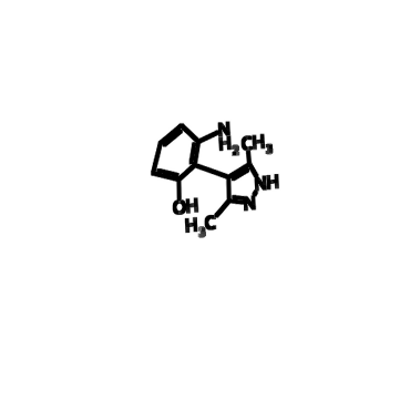 Cc1n[nH]c(C)c1-c1c(N)cccc1O